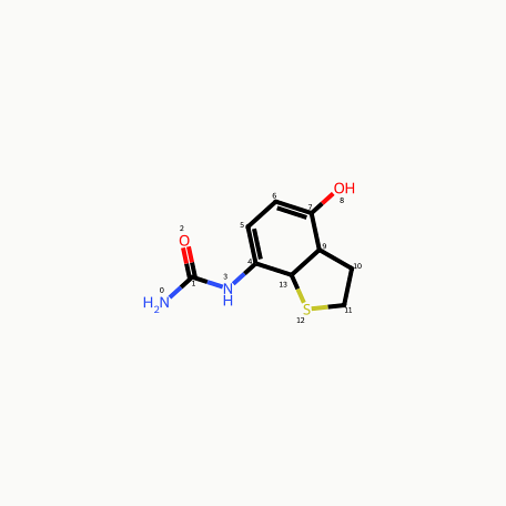 NC(=O)NC1=CC=C(O)C2CCSC12